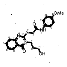 COc1ccc(NC(=O)CSc2nc3ccccc3c(=O)n2CCCO)cc1